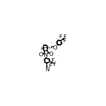 C[C@@]12C=C[C@](CCOc3ccc(C(F)(F)F)cc3)(O1)C1C(=O)N(c3ccc(C#N)c(C(F)(F)F)c3)C(=O)C12